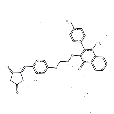 Cc1ccc(-c2c(OCCOc3ccc(/C=C4\SC(=O)CC4=O)cc3)c(=O)c3ccccc3n2C)cc1